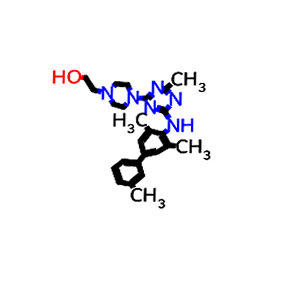 Cc1cccc(-c2cc(C)c(Nc3nc(C)nc(N4CCN(CCO)CC4)n3)c(C)c2)c1